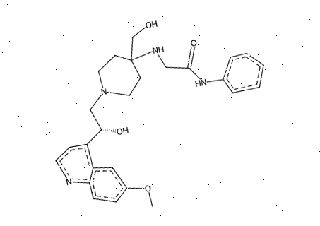 COc1ccc2nccc([C@@H](O)CN3CCC(CO)(NCC(=O)Nc4ccccc4)CC3)c2c1